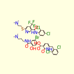 CN(C)CCCNC(=O)c1cc(Br)ccc1O.CN(C)CCSc1cc(C(F)(F)F)c(C(=O)Nc2ccc(Cl)cc2Cl)cn1.O=C(O)c1ccc(Cc2c(Cl)cccc2Cl)[nH]c1=O